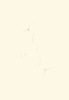 N.N.O=C(O)CCSSCCC(=O)O